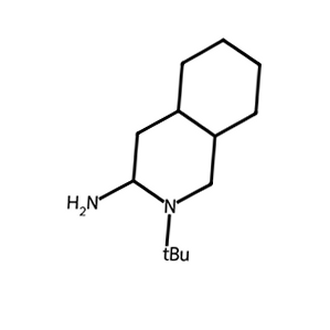 CC(C)(C)N1CC2CCCCC2CC1N